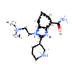 CN(C)CCn1c(C2CCCNC2)nc2c(C(N)=O)cccc21